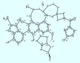 CCC1C[C@H]2CCCC3(CN(C(=O)n4ccc(Cl)n4)C3)CN2c2nc(OC[C@@]34CCCN3C[C@H](F)C4)nc3c(F)c(-c4ccc(F)c5sc(N)c(C#N)c45)c(Cl)c(c23)O1